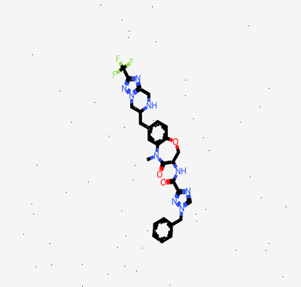 CN1C(=O)C(NC(=O)c2ncn(Cc3ccccc3)n2)COc2ccc(CC3Cn4nc(C(F)(F)F)nc4CN3)cc21